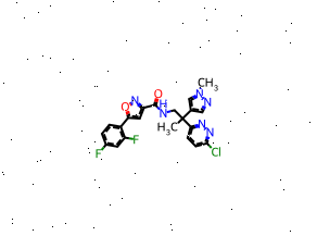 Cn1cc(C(C)(CNC(=O)c2cc(-c3ccc(F)cc3F)on2)c2ccc(Cl)nn2)cn1